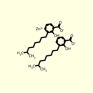 CC(C)CCCCCCc1cccc(C(=O)[O-])c1O.CC(C)CCCCCCc1cccc(C(=O)[O-])c1O.[Zn+2]